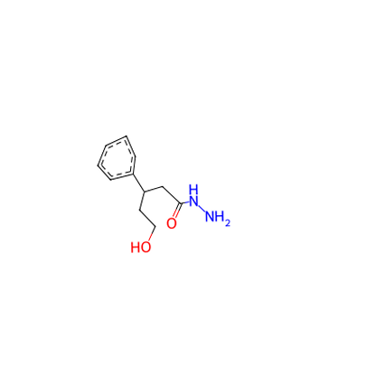 NNC(=O)CC(CCO)c1ccccc1